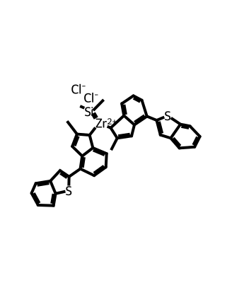 CC1=Cc2c(-c3cc4ccccc4s3)cccc2[CH]1[Zr+2]([CH]1C(C)=Cc2c(-c3cc4ccccc4s3)cccc21)=[Si](C)C.[Cl-].[Cl-]